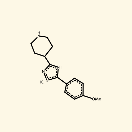 COc1ccc(-c2nnc(C3CCNCC3)[nH]2)cc1.Cl